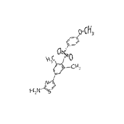 COc1ccc(S(=O)(=O)c2c(C)cc(-c3csc(N)n3)cc2C)cc1